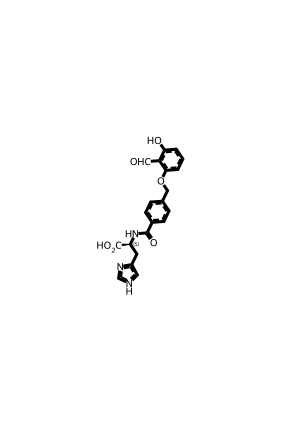 O=Cc1c(O)cccc1OCc1ccc(C(=O)N[C@@H](Cc2c[nH]cn2)C(=O)O)cc1